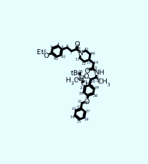 CCOc1ccc(CCC(=O)N2CCC(CC(=O)N[C@@H](C)[C@H](O[Si](C)(C)C(C)(C)C)c3ccc(OCc4ccccc4)cc3)CC2)cc1